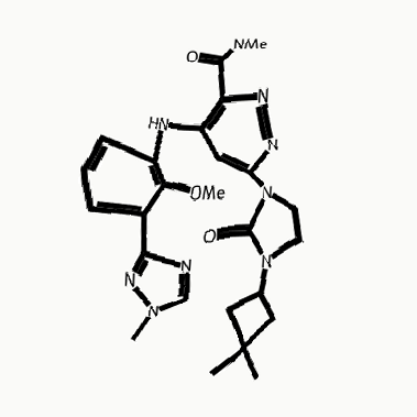 CNC(=O)c1nnc(N2CCN(C3CC(C)(C)C3)C2=O)cc1Nc1cccc(-c2ncn(C)n2)c1OC